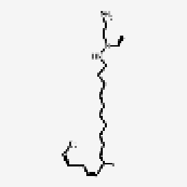 C=CN(CCP)NCCCCCCCCCCC(C)/C=C\C/C=C\CC